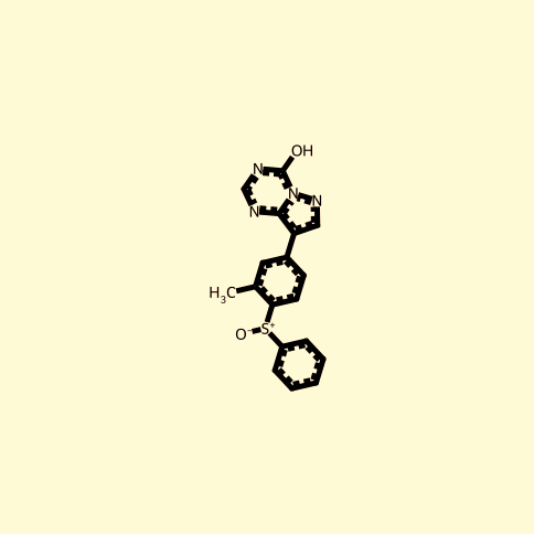 Cc1cc(-c2cnn3c(O)ncnc23)ccc1[S+]([O-])c1ccccc1